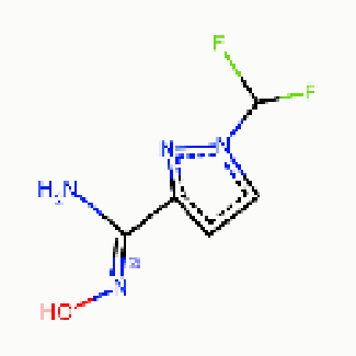 N/C(=N\O)c1ccn(C(F)F)n1